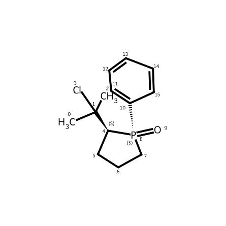 CC(C)(Cl)[C@@H]1CCC[P@@]1(=O)c1ccccc1